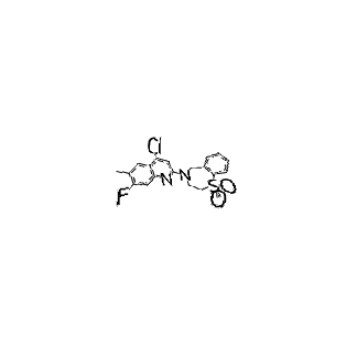 Cc1cc2c(Cl)cc(N3CCS(=O)(=O)c4ccccc4C3)nc2cc1F